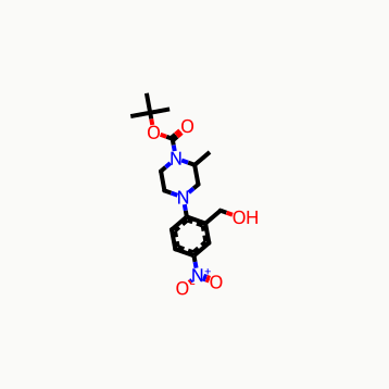 CC1CN(c2ccc([N+](=O)[O-])cc2CO)CCN1C(=O)OC(C)(C)C